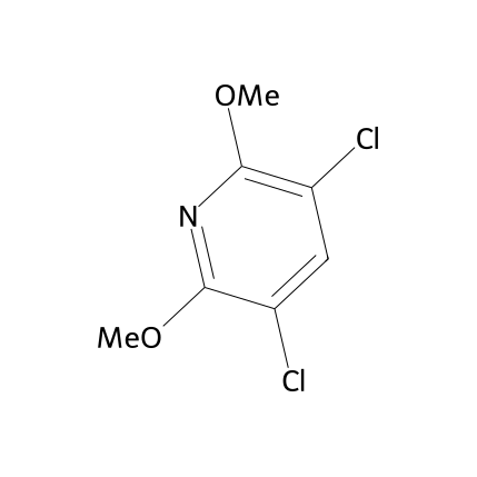 COc1nc(OC)c(Cl)cc1Cl